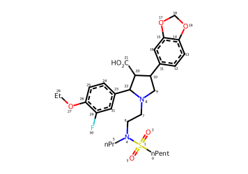 CCCCCS(=O)(=O)N(CCC)CCN1CC(c2ccc3c(c2)OCO3)C(C(=O)O)C1c1ccc(OCC)c(F)c1